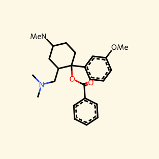 CNC1CCC(OC(=O)c2ccccc2)(c2cccc(OC)c2)C(CN(C)C)C1